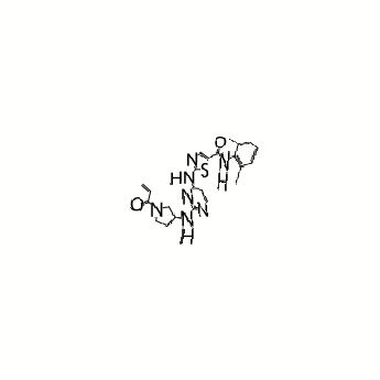 C=CC(=O)N1CC[C@H](Nc2nccc(Nc3ncc(C(=O)Nc4c(C)cccc4C)s3)n2)C1